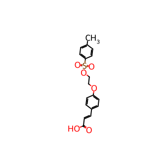 Cc1ccc(S(=O)(=O)OCCOc2ccc(C=CC(=O)O)cc2)cc1